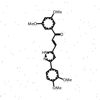 COc1cc(OC)cc(C(=O)C=Cc2cc(-c3ccc(OC)c(OC)c3)n[nH]2)c1